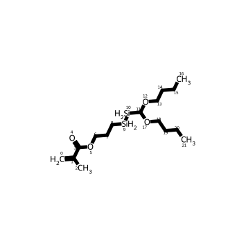 C=C(C)C(=O)OCCC[SiH2][SiH2]C(OCCCC)OCCCC